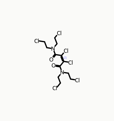 O=C(/C(Cl)=C(/Cl)C(=O)N(CCCl)CCCl)N(CCCl)CCCl